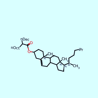 CCCCCCCCCCC(CCCCCCCC)C(=O)OC1CC[C@@]2(C)C(=CCC3C2CC[C@@]2(C)C3CC[C@@H]2[C@H](C)CCCC(C)C)C1